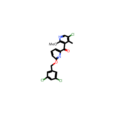 COc1ncc(Cl)c(C)c1C(=O)c1cccc(OCc2cc(Cl)cc(Cl)c2)n1